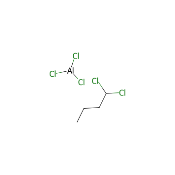 CCCC(Cl)Cl.[Cl][Al]([Cl])[Cl]